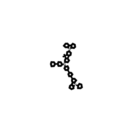 CC1(C)c2cc(N(c3ccc(-c4ccccc4)cc3)c3ccc(-c4ccc(-c5ccc6c(c5)c5ccccc5n6-c5ccccc5)cc4)cc3)ccc2-c2ccc(-n3c4ccccc4c4ccccc43)cc21